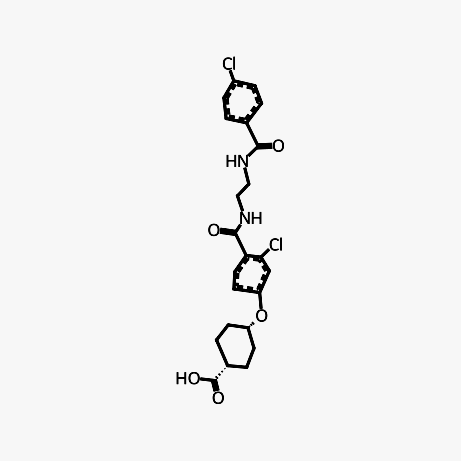 O=C(NCCNC(=O)c1ccc(O[C@H]2CC[C@@H](C(=O)O)CC2)cc1Cl)c1ccc(Cl)cc1